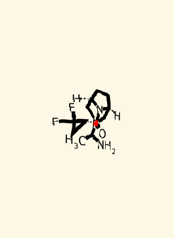 CC(N)N1C[C@H]2CC[C@@H](C1)N2C(=O)[C@@H]1CC1(F)F